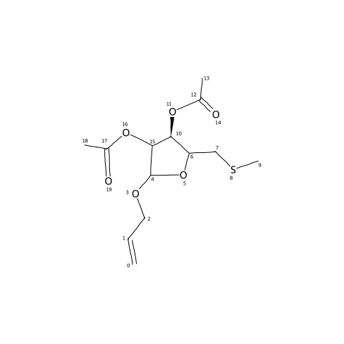 C=CCOC1OC(CSC)[C@H](OC(C)=O)C1OC(C)=O